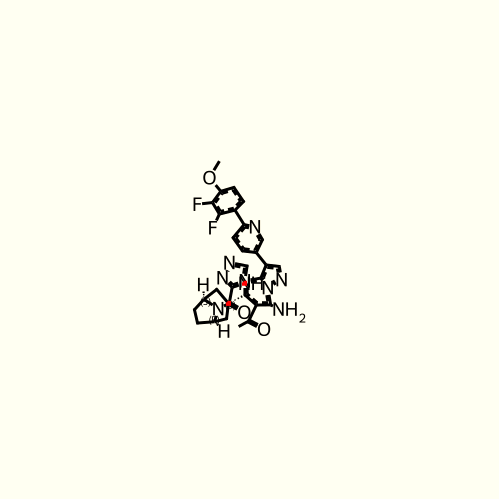 COc1ccc(-c2ccc(-c3cnn4c(N)c(C(C)=O)c([C@@H]5C[C@H]6CC[C@@H](C5)N6C(=O)c5nnc[nH]5)nc34)cn2)c(F)c1F